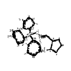 N#CC1CCCC1/C=N/O[Si](c1ccccc1)(c1ccccc1)c1ccccc1